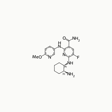 COc1ccc(Nc2nc(N[C@@H]3CCCC[C@@H]3N)c(F)cc2C(N)=O)cn1